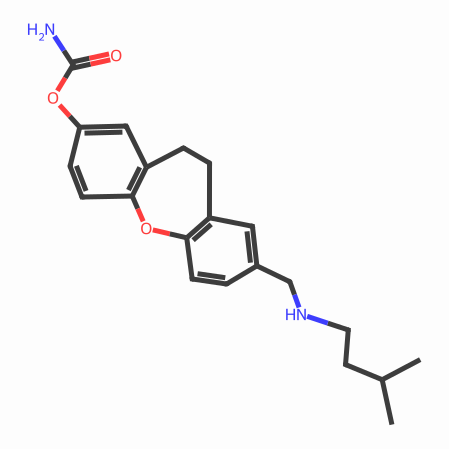 CC(C)CCNCc1ccc2c(c1)CCc1cc(OC(N)=O)ccc1O2